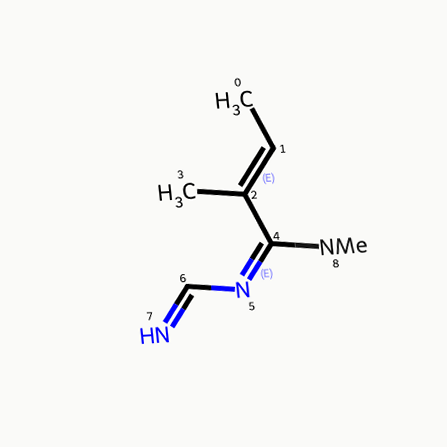 C/C=C(C)/C(=N\C=N)NC